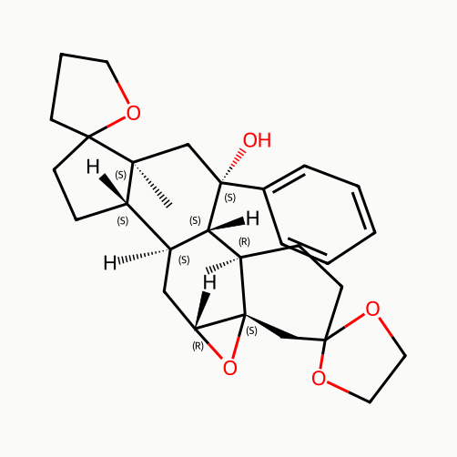 C[C@]12C[C@@](O)(c3ccccc3)[C@H]3[C@@H](C[C@H]4O[C@]45CC4(CC[C@]35C)OCCO4)[C@@H]1CCC21CCCO1